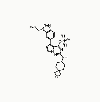 [2H]C([2H])([2H])Oc1nc(NC2CCC3(CC2)COC3)nn2ccc(-c3ccc4nnn(CCF)c4c3)c12